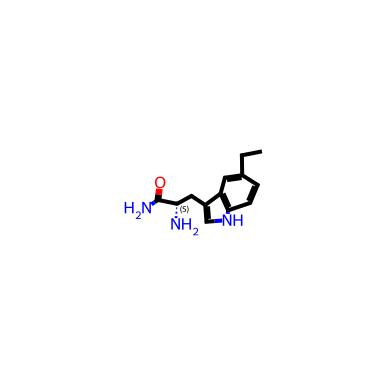 CCc1ccc2[nH]cc(C[C@H](N)C(N)=O)c2c1